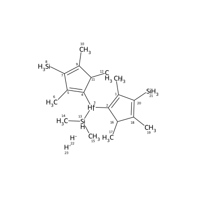 CC1=[C]([Hf]([C]2=C(C)C([SiH3])=C(C)C2C)[SiH](C)C)C(C)C(C)=C1[SiH3].[H-].[H-]